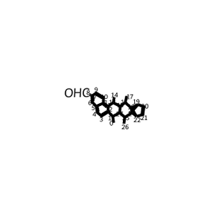 CC1c2ccc3cc(C=O)ccc3c2C(C)C2C(C)C3C4C=CC(C4)C3C(C)C12